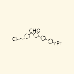 CCCc1ccc(-c2ccc(C3CCC(C(C=O)C4CCC(CCCCl)CC4)CC3)cc2)cc1